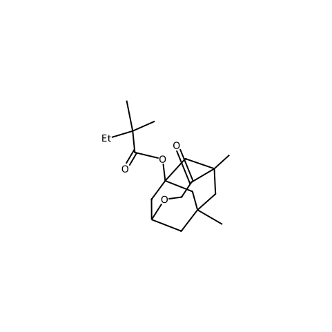 CCC(C)(C)C(=O)OC12CC3CC(C)(C1)CC(C)(C2)C(=O)CO3